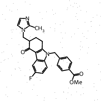 COC(=O)c1ccc(Cn2c3c(c4cc(F)ccc42)C(=O)C(Cn2ccnc2C)CC3)cc1